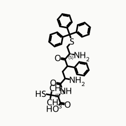 CC(C)(S)[C@@H](NC(=O)C(N)CC(C(=O)[C@H](N)CSC(c1ccccc1)(c1ccccc1)c1ccccc1)c1ccccc1)C(=O)O